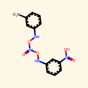 O=[N+](ONc1cccc([N+](=O)[O-])c1)ONc1cccc([N+](=O)O)c1